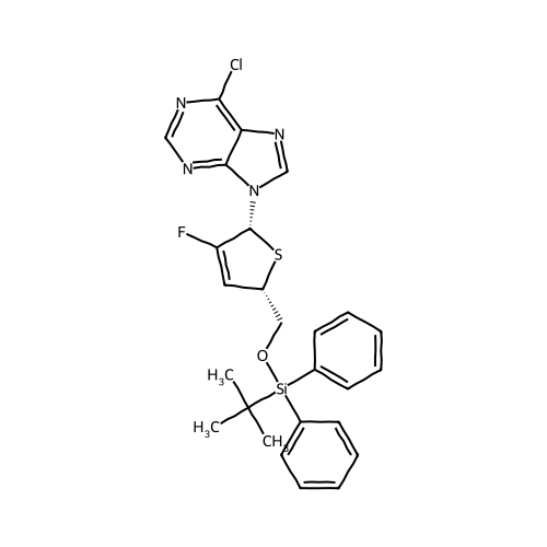 CC(C)(C)[Si](OC[C@@H]1C=C(F)[C@H](n2cnc3c(Cl)ncnc32)S1)(c1ccccc1)c1ccccc1